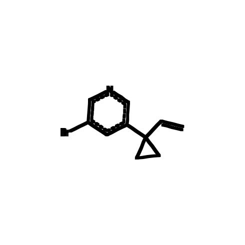 C=CC1(c2cncc(Br)c2)CC1